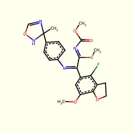 COC(=O)/N=C(SC)/C(=N\c1ccc(C2(C)N=CON2)cc1)c1cc(OC)c2c(c1F)CCO2